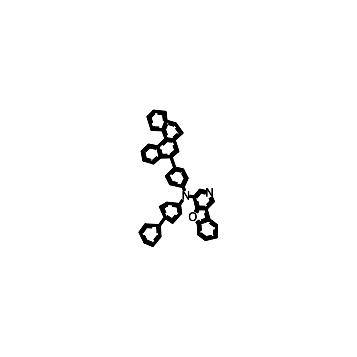 c1ccc(-c2ccc(N(c3ccc(-c4cc5ccc6ccccc6c5c5ccccc45)cc3)c3cncc4c3oc3ccccc34)cc2)cc1